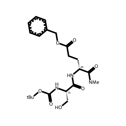 CNC(=O)[C@@H](CCC(=O)OCc1ccccc1)NC(=O)[C@H](CO)NC(=O)OC(C)(C)C